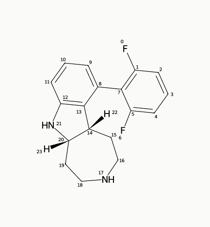 Fc1cccc(F)c1-c1cccc2c1[C@@H]1CCNCC[C@@H]1N2